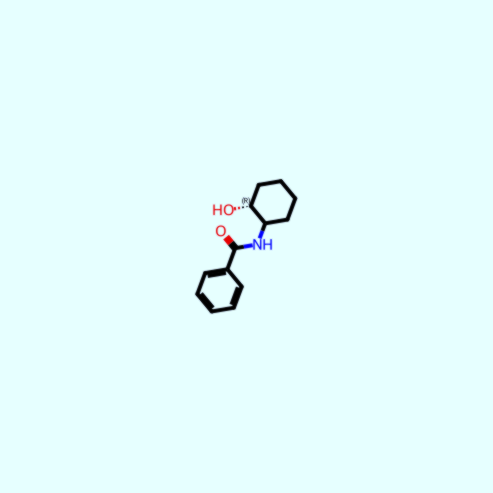 O=C(NC1CCCC[C@H]1O)c1ccccc1